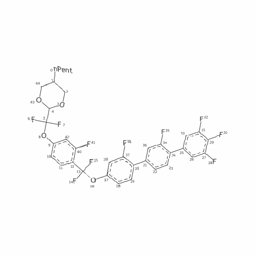 CCCCCC1COC(C(F)(F)Oc2ccc(C(F)(F)Oc3ccc(-c4ccc(-c5cc(F)c(F)c(F)c5)c(F)c4)c(F)c3)c(F)c2)OC1